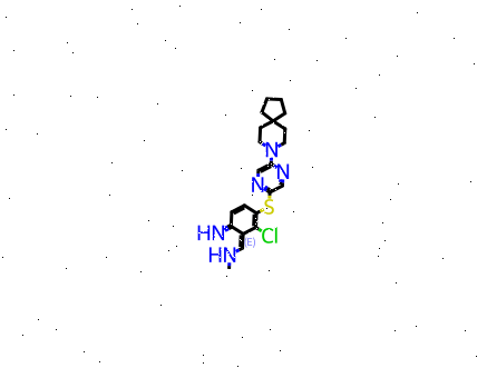 CN/C=C1\C(=N)C=CC(Sc2cnc(N3CCC4(CCCC4)CC3)cn2)=C1Cl